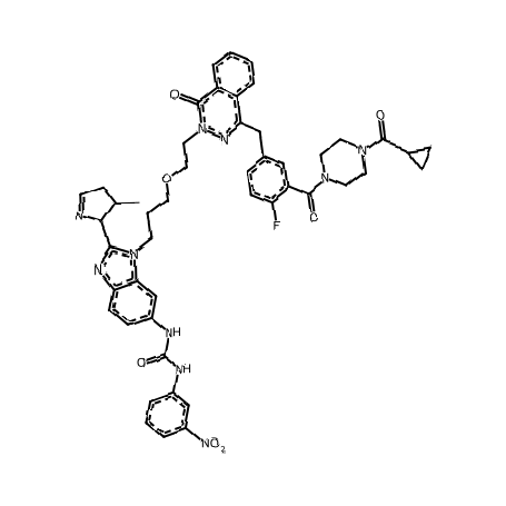 CC1CC=NC1c1nc2ccc(NC(=O)Nc3cccc([N+](=O)[O-])c3)cc2n1CCCOCCn1nc(Cc2ccc(F)c(C(=O)N3CCN(C(=O)C4CC4)CC3)c2)c2ccccc2c1=O